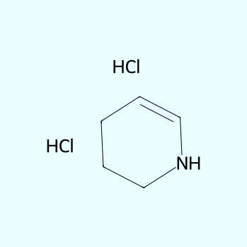 C1=CNCCC1.Cl.Cl